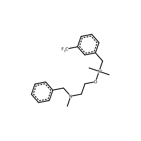 CN(CCO[N+](C)(C)Cc1cccc(C(F)(F)F)c1)Cc1ccccc1